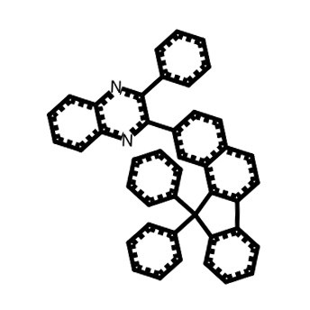 c1ccc(-c2nc3ccccc3nc2-c2ccc3ccc4c(c3c2)C(c2ccccc2)(c2ccccc2)c2ccccc2-4)cc1